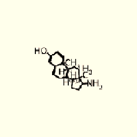 C[C@]12C=CC(O)=CC1=CC[C@@H]1[C@H]2CC[C@]2(C)C(N)CC[C@@H]12